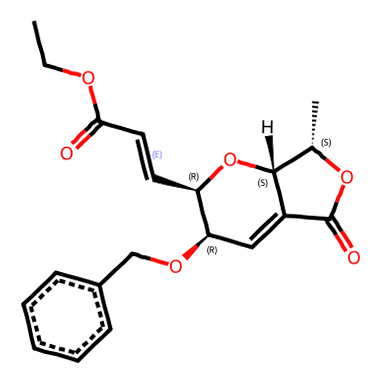 CCOC(=O)/C=C/[C@H]1O[C@H]2C(=C[C@H]1OCc1ccccc1)C(=O)O[C@H]2C